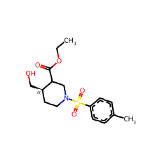 CCOC(=O)C1CN(S(=O)(=O)c2ccc(C)cc2)CC[C@H]1CO